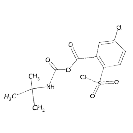 CC(C)(C)NC(=O)OC(=O)c1cc(Cl)ccc1S(=O)(=O)Cl